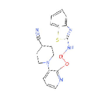 N#CC1CCN(c2cccnc2OONc2nc3ccccc3s2)CC1